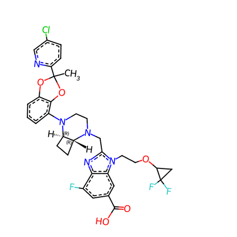 CC1(c2ccc(Cl)cn2)Oc2cccc(N3CCN(Cc4nc5c(F)cc(C(=O)O)cc5n4CCOC4CC4(F)F)[C@@H]4CC[C@H]43)c2O1